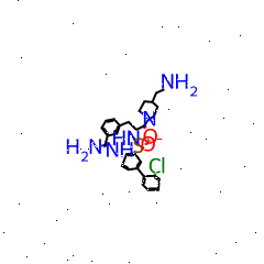 N=C(N)c1cccc(CC(N[S+]([O-])c2cccc(-c3ccccc3Cl)c2)C(=O)N2CCC(CCN)CC2)c1